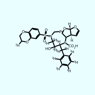 [2H]c1c([2H])c([2H])c(C([2H])([2H])[C@]([2H])(N(C(=O)O)C2CO[C@@H]3OC=C[C@@H]23)[C@]([2H])(O)C([2H])([2H])N(CC(C)C)S(=O)(=O)c2ccc3c(c2)OC([2H])CO3)c([2H])c1[2H]